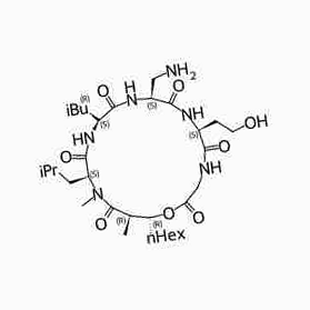 CCCCCC[C@H]1OC(=O)CNC(=O)[C@H](CCO)NC(=O)[C@H](CN)NC(=O)[C@H]([C@H](C)CC)NC(=O)[C@H](CC(C)C)N(C)C(=O)[C@@H]1C